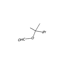 CC(C)C(C)(C)OC=O